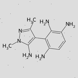 Cc1nn(C)c(N)c1-c1c(N)ccc(N)c1N